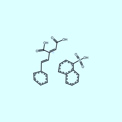 O=C(O)/C=C(/C=Cc1ccccc1)C(=O)O.O=S(=O)(O)c1cccc2ccccc12